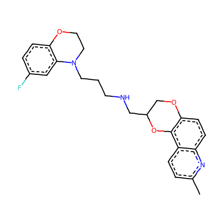 Cc1ccc2c3c(ccc2n1)OCC(CNCCCN1CCOc2ccc(F)cc21)O3